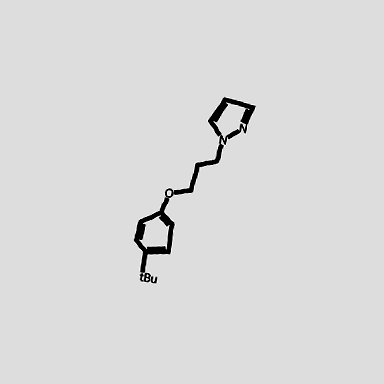 CC(C)(C)c1ccc(OCCCn2cccn2)cc1